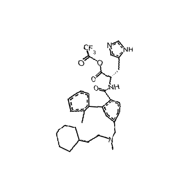 Cc1ccccc1-c1cc(CN(C)CCC2CCCCC2)ccc1C(=O)N[C@@H](Cc1cnc[nH]1)C(=O)OC(=O)C(F)(F)F